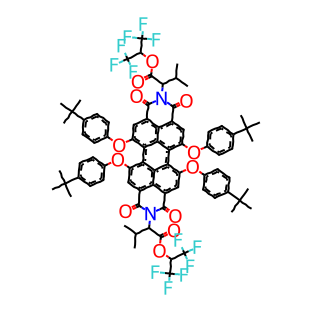 CC(C)C(C(=O)OC(C(F)(F)F)C(F)(F)F)N1C(=O)c2cc(Oc3ccc(C(C)(C)C)cc3)c3c4c(Oc5ccc(C(C)(C)C)cc5)cc5c6c(cc(Oc7ccc(C(C)(C)C)cc7)c(c7c(Oc8ccc(C(C)(C)C)cc8)cc(c2c37)C1=O)c64)C(=O)N(C(C(=O)OC(C(F)(F)F)C(F)(F)F)C(C)C)C5=O